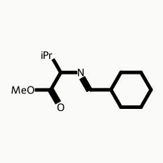 COC(=O)C(N=CC1CCCCC1)C(C)C